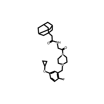 O=C(CC12CC3CC(CC(C3)C1)C2)NCC(=O)N1CCN(Cc2cc(OC3CC3)ccc2F)CC1